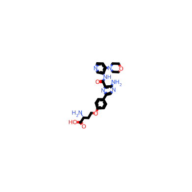 Nc1ncc(-c2ccc(OCC[C@@H](N)C(=O)O)cc2)nc1C(=O)Nc1cnccc1N1CCOCC1